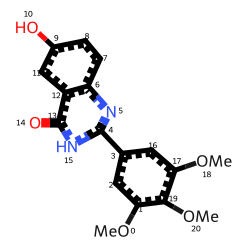 COc1cc(-c2nc3ccc(O)cc3c(=O)[nH]2)cc(OC)c1OC